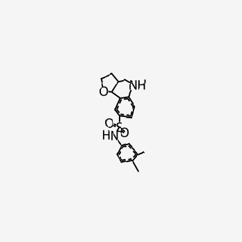 Cc1ccc(NS(=O)(=O)c2ccc3c(c2)C2OCCC2CN3)cc1C